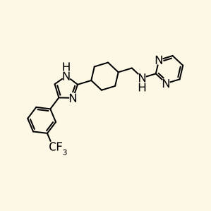 FC(F)(F)c1cccc(-c2c[nH]c(C3CCC(CNc4ncccn4)CC3)n2)c1